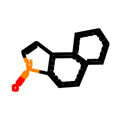 O=[PH]1C=Cc2c1ccc1ccccc21